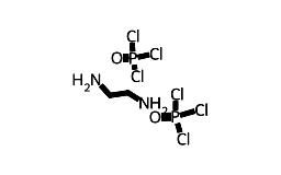 NCCN.O=P(Cl)(Cl)Cl.O=P(Cl)(Cl)Cl